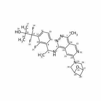 Cc1nnc(NC(C)c2cccc(C(F)(F)C(C)(C)O)c2F)c2cc(N3CC4CC(C3)O4)ncc12